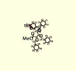 CO[C@@H]1O[C@H](COC(C)(C)C)[C@@H](O[SiH](c2ccccc2)c2ccccc2)[C@H](OCc2ccccc2)[C@H]1OCc1ccccc1